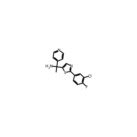 CC(N)(c1ccncc1)c1cnc(-c2ccc(F)c(Cl)c2)s1